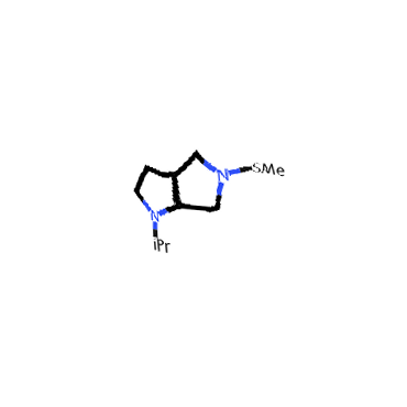 CSN1CC2CCN(C(C)C)C2C1